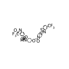 O=C(COC1CCC(NS(=O)(=O)c2ccc([N+](=O)[O-])c(C(F)(F)F)c2)CC1)N1CCN(c2nc3cc(C(F)(F)F)ccc3s2)CC1